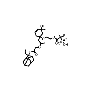 CCC1(OC(=O)COC(C)CC2(OCCOC(=O)C(F)(F)S(=O)(=O)O)CC=CC(C)(O)C2)C2CC3CC(C2)CC1C3